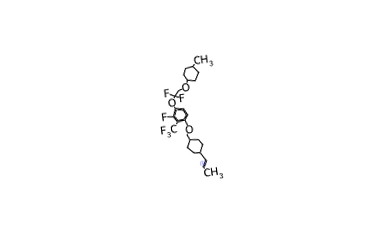 C/C=C/C1CCC(COc2ccc(OC(F)(F)COC3CCC(C)CC3)c(F)c2C(F)(F)F)CC1